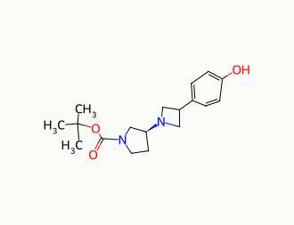 CC(C)(C)OC(=O)N1CC[C@H](N2CC(c3ccc(O)cc3)C2)C1